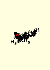 COc1cc(C(=O)N2CC3CCC2[C@@H]3N)cc2nc(-c3cc4ccc(NCc5cccc(NC(C)=O)c5)nc4n3CC3CC3)n(C)c12